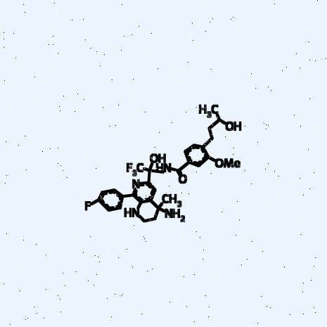 COc1cc(C(=O)NCC(O)(c2cc3c(c(-c4ccc(F)cc4)n2)NCCC3(C)N)C(F)(F)F)ccc1CCC(C)O